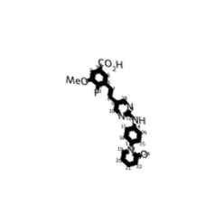 COc1cc(C(=O)O)cc(C=Cc2cnc(Nc3ccc(-n4ccccc4=O)cc3)nc2)c1F